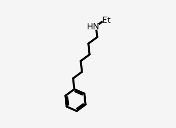 CCNCCCCCCc1ccccc1